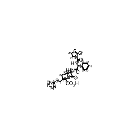 Cn1nnnc1SCC1=C(C(=O)O)N2C(=O)C(NC(=O)C(NC(=O)N3CCSC3=O)c3ccccc3)[C@H]2SC1